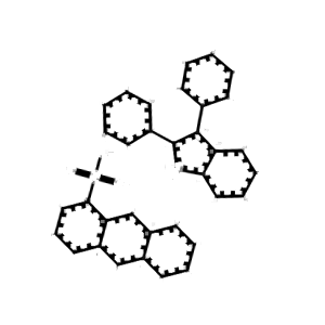 O=S(=O)(O)c1cccc2cc3ccccc3cc12.c1ccc(-c2[nH]c3ccccc3c2-c2ccccc2)cc1